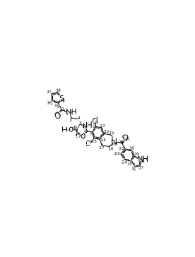 O=C(NCC[C@H](NC(=O)c1c(Cl)cc2c(c1Cl)CCN(C(=O)c1ccc3cc[nH]c3c1)C2)C(=O)O)c1cccs1